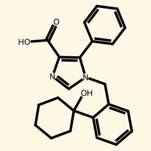 O=C(O)c1ncn(Cc2ccccc2C2(O)CCCCC2)c1-c1ccccc1